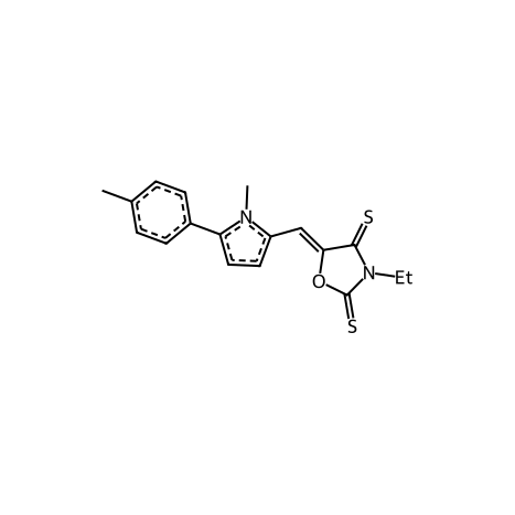 CCN1C(=S)O/C(=C\c2ccc(-c3ccc(C)cc3)n2C)C1=S